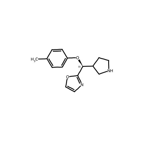 Cc1ccc(O[C@H](c2ncco2)C2CCNC2)cc1